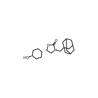 O=C1OC([C@H]2CC[C@H](O)CC2)CN1CC12CC3CC(CC(C3)C1)C2